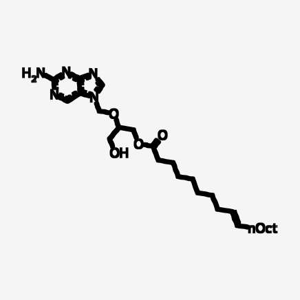 CCCCCCCCC=CCCCCCCCC(=O)OCC(CO)OCn1cnc2nc(N)ncc21